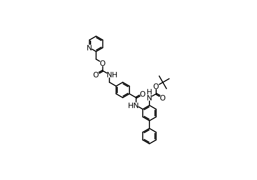 CC(C)(C)OC(=O)Nc1ccc(-c2ccccc2)cc1NC(=O)c1ccc(CNC(=O)OCc2ccccn2)cc1